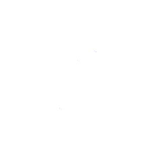 Cc1ccc(C(=O)Nc2ccc(C(CC(NS(=O)(=O)c3ccc(C)cc3)C(=O)O)=NO)cc2)cc1